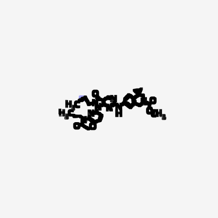 C/C=C\Cn1c(=O)c2cnc(Nc3ccc4c(c3)CN(C(=O)OC)CC43CC3)nc2n1-c1ccc2c(n1)N(CCC)C(=O)CO2